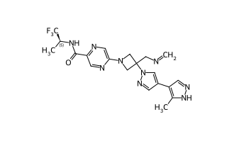 C=NCC1(n2cc(-c3cn[nH]c3C)cn2)CN(c2cnc(C(=O)N[C@@H](C)C(F)(F)F)cn2)C1